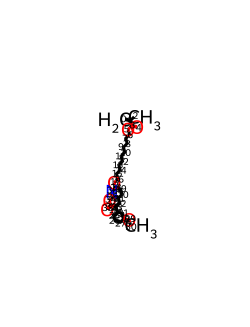 C=C(C)C(=O)OCCCCCCCCCCCOc1ccc2cc(-c3cccc(OC)c3)c(=O)oc2n1